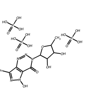 CCCc1nn(O)c2c(=O)n(C3OC(C)C(O)C3O)nnc12.O=P(O)(O)O.O=P(O)(O)O.O=P(O)(O)O